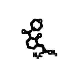 CN(C)C=C1CCCC(C(=O)N2CCOCC2)C1=O